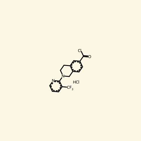 Cl.O=C(Cl)c1ccc2c(c1)CCN(c1ncccc1C(F)(F)F)C2